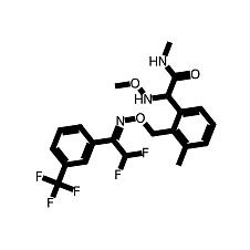 CNC(=O)C(NOC)c1cccc(C)c1CO/N=C(/c1cccc(C(F)(F)F)c1)C(F)F